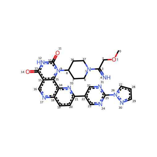 COCC(=N)N1CCC(n2c(=O)[nH]c(=O)c3cnc4ccc(-c5cnc(-n6cccn6)nc5)nc4c32)CC1